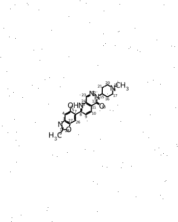 Cc1nc2cc(O)c(-c3ccc4c(=O)n(C5CCN(C)CC5)ncc4n3)cc2o1